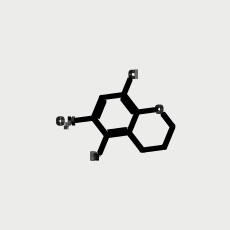 O=[N+]([O-])c1cc(Cl)c2c(c1Br)CCCO2